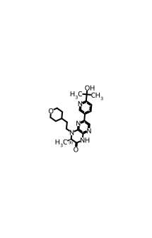 C[C@@H]1C(=O)Nc2ncc(-c3ccc(C(C)(C)O)nc3)nc2N1CCC1CCOCC1